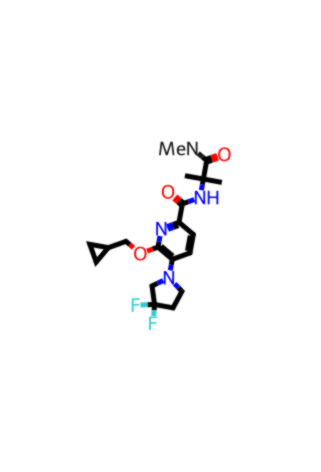 CNC(=O)C(C)(C)NC(=O)c1ccc(N2CCC(F)(F)C2)c(OCC2CC2)n1